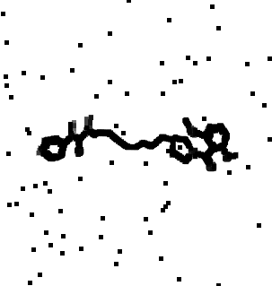 COc1cccc(OC)c1C(=O)N1CCC(CCCCCCNC(=O)Nc2ccncc2)C1